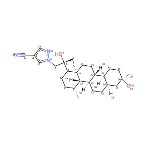 C[C@@H]1CCC([C@@](C)(O)Cn2cc(C#N)cn2)[C@@]2(C)CC[C@H]3[C@@H](CC[C@@H]4C[C@](C)(O)CC[C@@H]43)[C@H]12